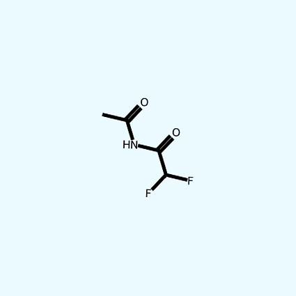 CC(=O)NC(=O)[C](F)F